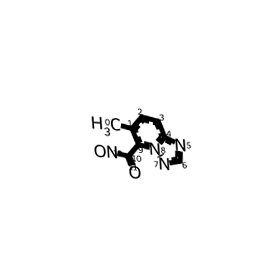 Cc1ccc2ncnn2c1C(=O)N=O